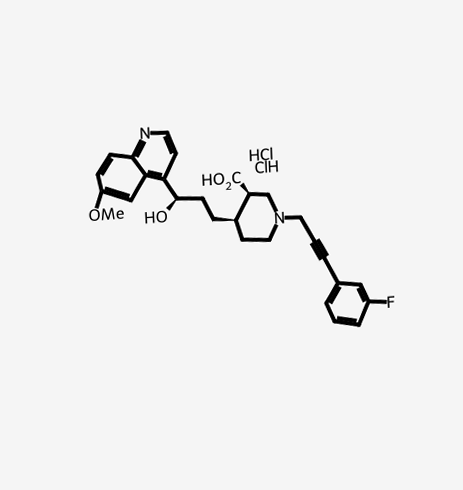 COc1ccc2nccc([C@H](O)CC[C@@H]3CCN(CC#Cc4cccc(F)c4)C[C@@H]3C(=O)O)c2c1.Cl.Cl